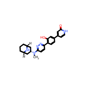 CN(c1ccc(-c2ccc(-c3cc[nH]c(=O)c3)cc2O)nn1)[C@H]1C[C@H]2CCC[C@@H](C1)N2